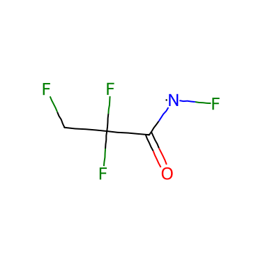 O=C([N]F)C(F)(F)CF